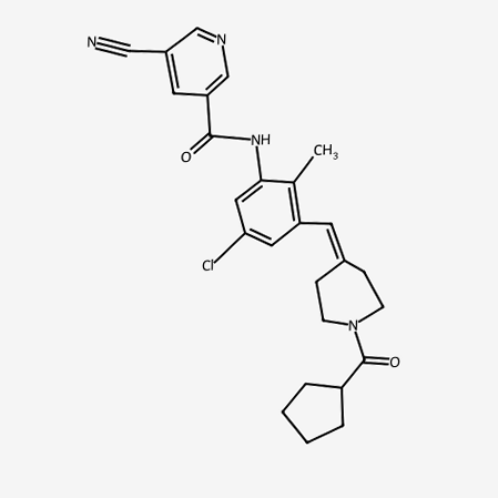 Cc1c(C=C2CCN(C(=O)C3CCCC3)CC2)cc(Cl)cc1NC(=O)c1cncc(C#N)c1